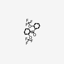 O=[PH](c1ccccc1OC(F)(F)F)c1ccccc1OC(F)(F)F